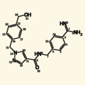 N=C(N)c1ccc(CNC(=O)c2cnn(Cc3ccc(CO)cc3)c2)cc1